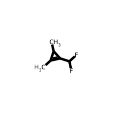 CC1=C(C(F)F)C1C